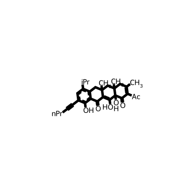 CCCC#Cc1cc(C(C)C)c2c(c1O)C(=O)C1=C(O)C3(O)C(=O)C(C(C)=O)=C(C)CC3(C)CC1(C)C2